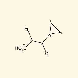 O=C(O)C(Cl)C(Cl)C1CC1